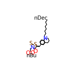 CCCCCCCCCCCCCCCCCCN1CCCc2cc(/C=C3\SC(=S)N(CC(=O)OCCCC)C3=O)ccc21